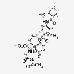 Cc1ccccc1C(=O)Nc1ccc(C(=O)N2CCCC(C(NCC(=O)OC(C)Cl)C(=O)O)c3cc(Cl)ccc32)c(C)c1